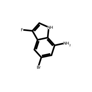 Nc1cc(Br)cc2c(F)c[nH]c12